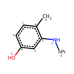 CCCNc1cc(O)ccc1C